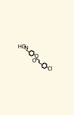 O=C(C=Cc1ccc(Cl)cc1)Oc1ccc(/C=N/O)cc1